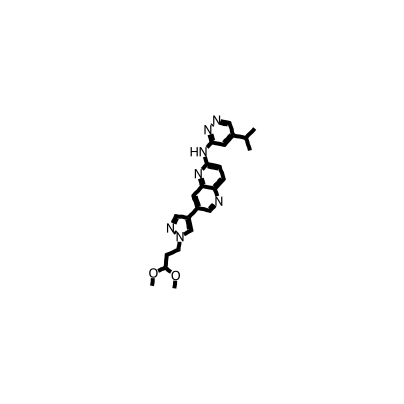 COC(CCn1cc(-c2cnc3ccc(Nc4cc(C(C)C)cnn4)nc3c2)cn1)OC